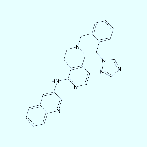 c1ccc(Cn2cncn2)c(CN2CCc3c(ccnc3Nc3cnc4ccccc4c3)C2)c1